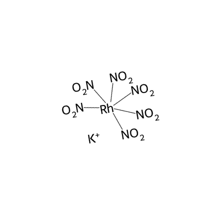 O=[N+]([O-])[Rh]([N+](=O)[O-])([N+](=O)[O-])([N+](=O)[O-])([N+](=O)[O-])[N+](=O)[O-].[K+]